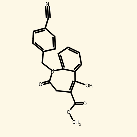 COC(=O)C1=C(O)c2ccccc2N(Cc2ccc(C#N)cc2)C(=O)C1